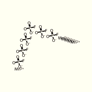 O=P([O-])([O-])F.O=P([O-])([O-])F.O=P([O-])([O-])F.O=P([O-])([O-])F.O=P([O-])([O-])F.O=P([O-])([O-])F.[Mn+2].[Mn+2].[Mn+2].[Mn+2].[Mn+2].[Mn+2]